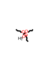 CCCCOC(C[O][Hf])(OCCCC)OCCCC